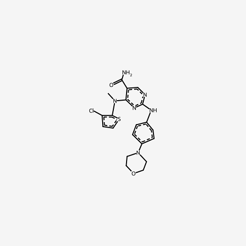 CN(c1nc(Nc2ccc(N3CCOCC3)cc2)ncc1C(N)=O)c1sccc1Cl